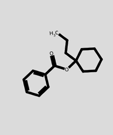 CCCC1(OC(=O)c2ccccc2)CCCCC1